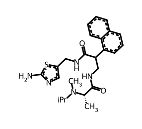 CC(C)N(C)[C@@H](C)C(=O)NCC(C(=O)NCc1cnc(N)s1)c1cccc2ccccc12